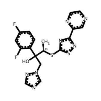 C[C@@H](Sc1nc(-c2cnccn2)ns1)C(O)(Cn1cncn1)c1ccc(F)cc1F